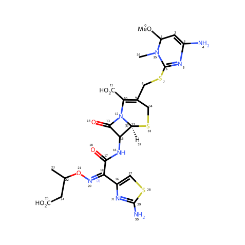 COC1C=C(N)N=C(SCC2=C(C(=O)O)N3C(=O)C(NC(=O)/C(=N\OC(C)CC(=O)O)c4csc(N)n4)[C@@H]3SC2)N1C